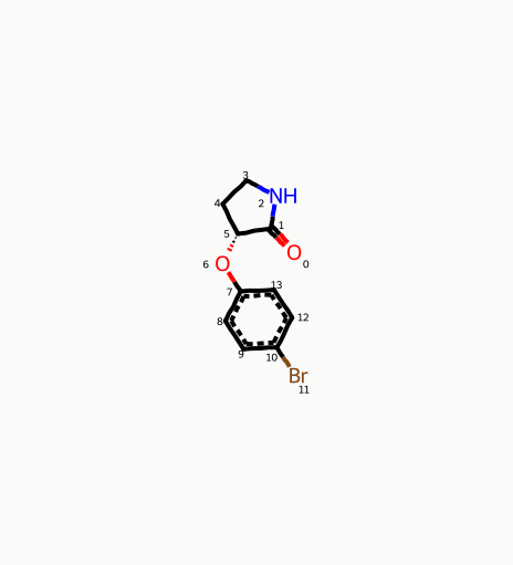 O=C1NCC[C@H]1Oc1ccc(Br)cc1